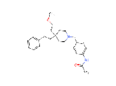 COCCC1(CCc2ccccc2)CCN(Cc2ccc(NC(C)=O)cc2)CC1